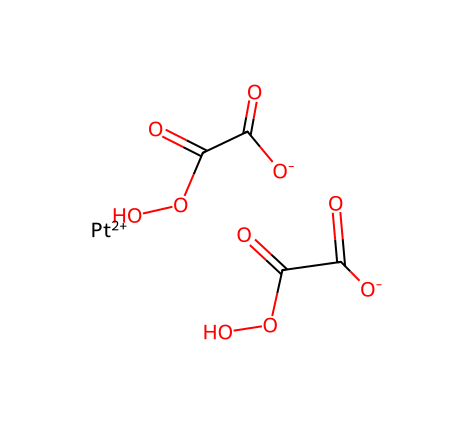 O=C([O-])C(=O)OO.O=C([O-])C(=O)OO.[Pt+2]